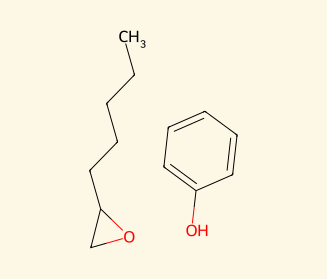 CCCCCC1CO1.Oc1ccccc1